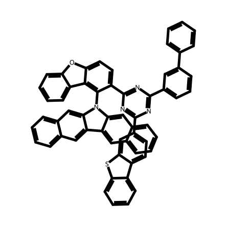 c1ccc(-c2cccc(-c3nc(-c4ccc5c(c4)sc4ccccc45)nc(-c4ccc5oc6ccccc6c5c4-n4c5cc6ccccc6cc5c5cc6ccccc6cc54)n3)c2)cc1